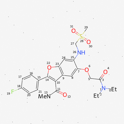 CCN(CC)C(=O)COc1cc2c(C(=O)NC)c(-c3ccc(F)cc3)oc2cc1NCS(C)(=O)=O